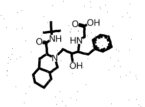 CC(C)(C)NC(=O)C1CC2CCCCC2CN1CC(O)C(Cc1ccccc1)NCC(=O)O